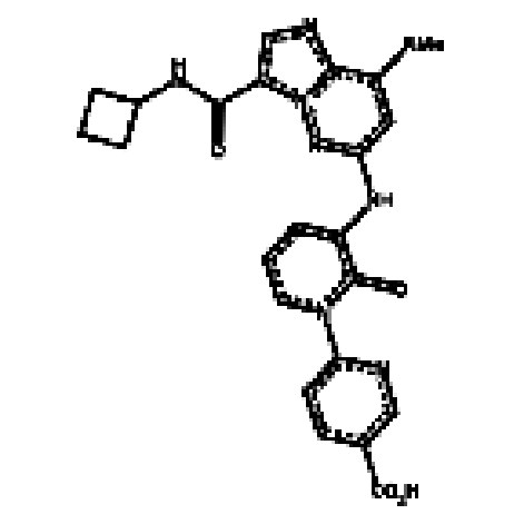 CNc1cc(Nc2cccn(-c3ccc(C(=O)O)cn3)c2=O)nn2c(C(=O)NC3CCC3)cnc12